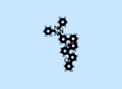 c1ccc(-c2nc(-c3ccccc3)nc(-c3ccc(-n4c5ccccc5c5c(-c6cccc7c6oc6ccccc67)cccc54)c(-c4ccccc4)c3)n2)cc1